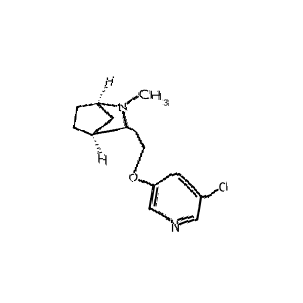 CN1C(COc2cncc(Cl)c2)[C@H]2CC[C@@H]1C2